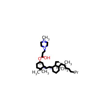 CC(C)CCC[C@@H](C)[C@H]1CCC2/C(=C/C=C3\C[C@@H](OC(O)CCN4CCN(C)CC4)CCC3(C)C)CCC[C@@]21C